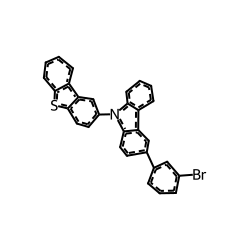 Brc1cccc(-c2ccc3c(c2)c2ccccc2n3-c2ccc3sc4ccccc4c3c2)c1